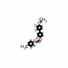 CCOc1ccc(-c2ccc(OC(F)(F)COc3ccc(C)c(F)c3F)cc2)c(F)c1F